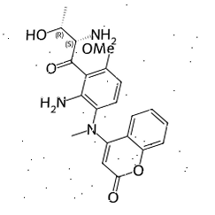 COc1ccc(N(C)c2cc(=O)oc3ccccc23)c(N)c1C(=O)[C@@H](N)[C@@H](C)O